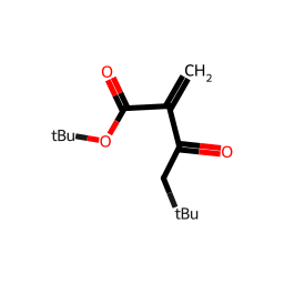 C=C(C(=O)CC(C)(C)C)C(=O)OC(C)(C)C